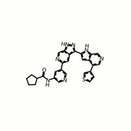 O=C(Nc1cncc(-c2cc3c(-c4cc5c(-c6ccsc6)cncc5[nH]4)n[nH]c3cn2)c1)C1CCCC1